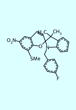 CSc1cc([N+](=O)[O-])cc2c1OC1(C=C2)N(Cc2ccc(F)cc2)c2ccccc2C1(C)C